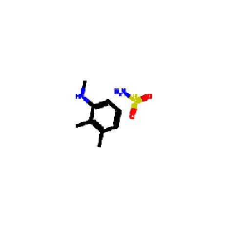 CNc1cccc(C)c1C.N[SH](=O)=O